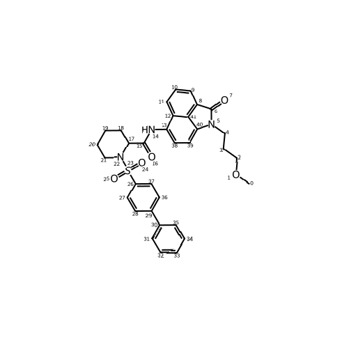 COCCCN1C(=O)c2cccc3c(NC(=O)C4CCCCN4S(=O)(=O)c4ccc(-c5ccccc5)cc4)ccc1c23